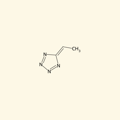 CC=C1N=NN=N1